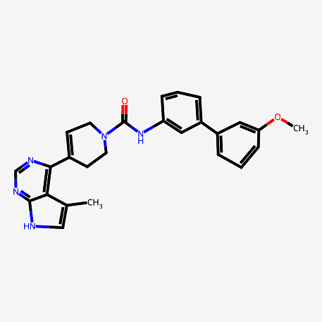 COc1cccc(-c2cccc(NC(=O)N3CC=C(c4ncnc5[nH]cc(C)c45)CC3)c2)c1